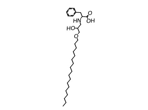 CCCCCCCCCCCCCCCCCCOCC(O)CNC(Cc1ccccc1)C(=O)O